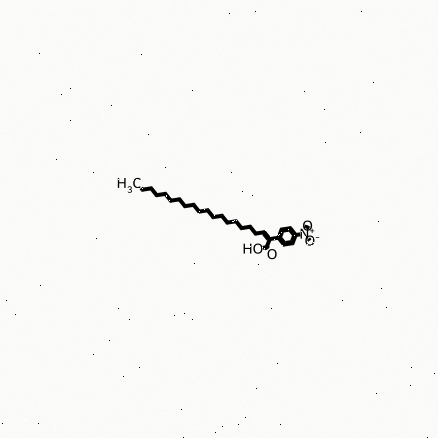 CCCCCCCCCCCCCCCCCCC=C(C(=O)O)c1ccc([N+](=O)[O-])cc1